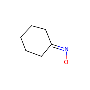 [O]N=C1CCCCC1